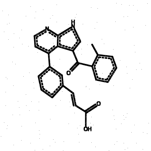 Cc1ccccc1C(=O)c1c[nH]c2nccc(-c3cccc(/C=C/C(=O)O)c3)c12